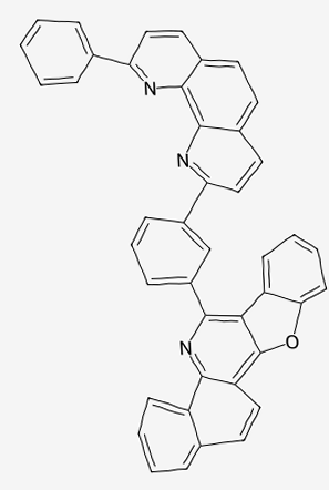 c1ccc(-c2ccc3ccc4ccc(-c5cccc(-c6nc7c8ccccc8ccc7c7oc8ccccc8c67)c5)nc4c3n2)cc1